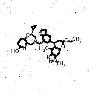 CCOC(=O)CC(c1cc(CN2Cc3nc(O)ccc3O[C@@H](C3CC3)C2)c2sccc2c1)c1ccc2c(nnn2C)c1C